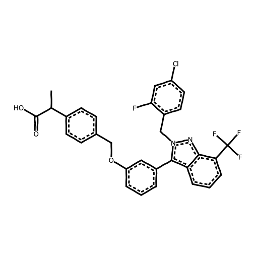 CC(C(=O)O)c1ccc(COc2cccc(-c3c4cccc(C(F)(F)F)c4nn3Cc3ccc(Cl)cc3F)c2)cc1